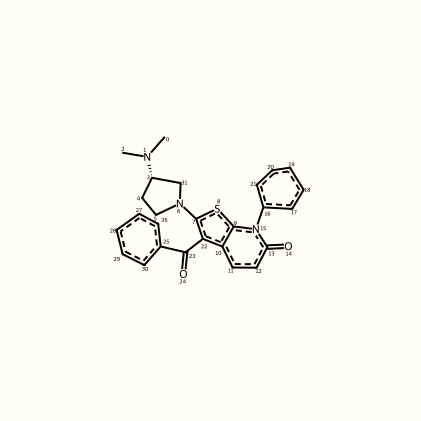 CN(C)[C@H]1CCN(c2sc3c(ccc(=O)n3-c3ccccc3)c2C(=O)c2ccccc2)C1